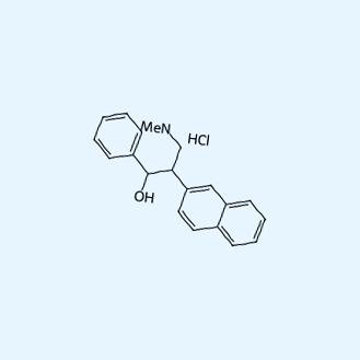 CNCC(c1ccc2ccccc2c1)C(O)c1ccccc1.Cl